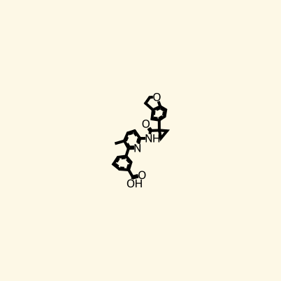 Cc1ccc(NC(=O)C2(c3ccc4c(c3)CCO4)CC2)nc1-c1cccc(C(=O)O)c1